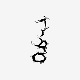 COC(=O)NCCOc1ccc(Oc2ccccc2)cc1Cl